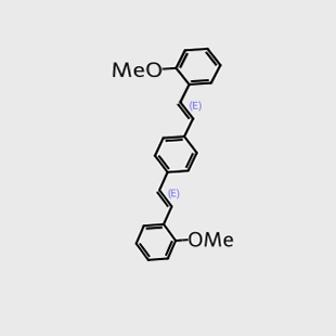 COc1ccccc1/C=C/c1ccc(/C=C/c2ccccc2OC)cc1